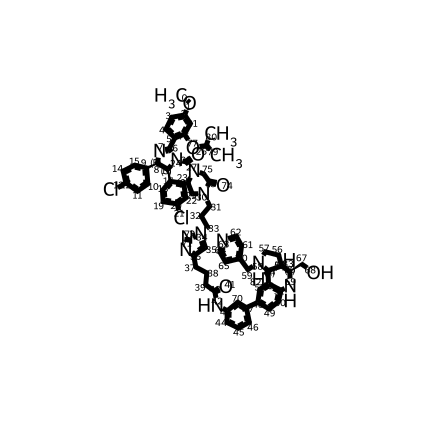 COc1ccc(C2=N[C@H](c3ccc(Cl)cc3)[C@H](c3ccc(Cl)cc3)N2C(=O)N2CCN(CCCn3cc(CCCC(=O)Nc4cccc(-c5ccc6c(c5)[C@H]5[C@H](CCN5Cc5ccncc5)[C@@H](CO)N6)c4)nn3)C(=O)C2)c(OC(C)C)c1